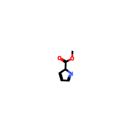 COC(=O)[C]1C=CC=N1